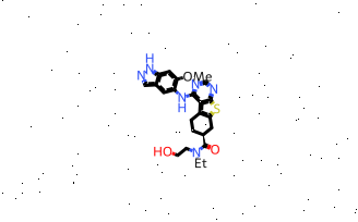 CCN(CCO)C(=O)[C@H]1CCc2c(sc3ncnc(Nc4cc5cn[nH]c5cc4OC)c23)C1